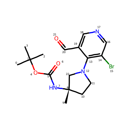 CC(C)(C)OC(=O)N[C@@]1(C)CCN(c2c(Br)cncc2C=O)C1